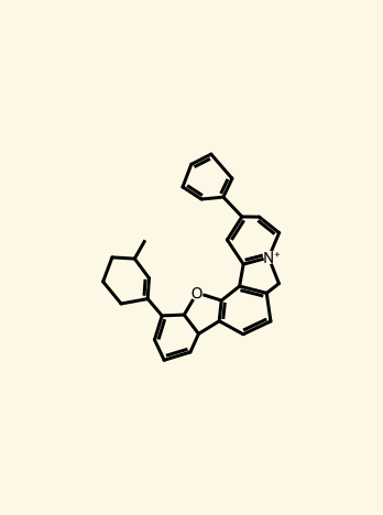 CC1C=C(C2=CC=CC3c4ccc5c(c4OC23)-c2cc(-c3ccccc3)cc[n+]2C5)CCC1